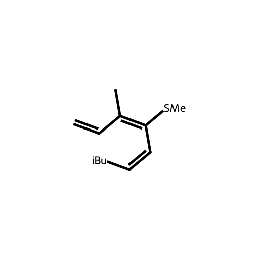 C=C/C(C)=C(\C=C/C(C)CC)SC